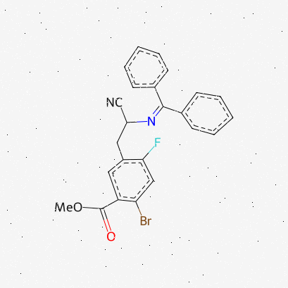 COC(=O)c1cc(CC(C#N)N=C(c2ccccc2)c2ccccc2)c(F)cc1Br